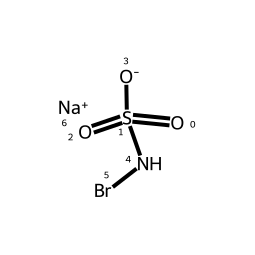 O=S(=O)([O-])NBr.[Na+]